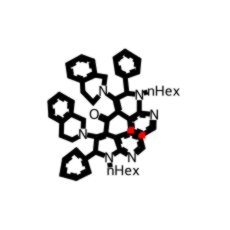 CCCCCCN1c2ncccc2C(C(=O)C2=C(N3CCc4ccccc4C3)C(c3ccccc3)N(CCCCCC)c3ncccc32)=C(N2CCc3ccccc3C2)C1c1ccccc1